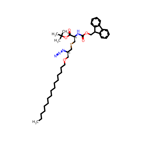 CCCCCCCCCCCCCCCCOC[C@H](CSC[C@H](NC(=O)OCC1c2ccccc2-c2ccccc21)C(=O)OC(C)(C)C)N=[N+]=[N-]